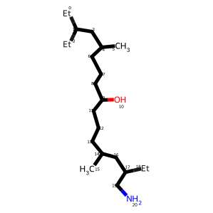 CCC(CC)CC(C)CCCC(O)CCCC(C)CC(CC)CN